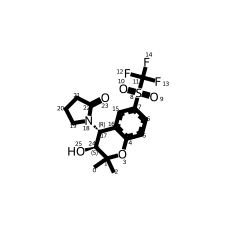 CC1(C)Oc2ccc(S(=O)(=O)C(F)(F)F)cc2[C@@H](N2CCCC2=O)[C@@H]1O